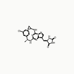 C[C@H](Nc1nc(NC2CC2)n2ncc(/C=C3\NC(=O)NC3=O)c2n1)c1cccc(Cl)c1